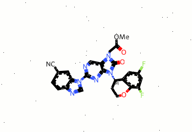 COC(=O)Cn1c(=O)n([C@@H]2CCOc3c(F)cc(F)cc32)c2nc(-n3cnc4ccc(C#N)cc43)ncc21